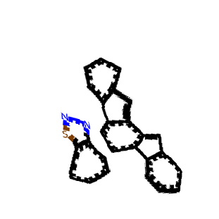 C1=c2c(ccc3c2=Cc2ccccc2-3)-c2ccccc21.c1ccc2snnc2c1